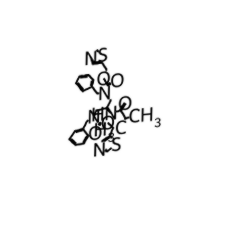 CC(C)C(=O)NC(CN(Cc1ccccc1)C(=O)OCc1cncs1)CN(Cc1ccccc1)C(=O)OCc1cncs1